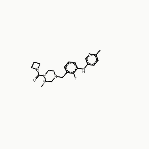 Cc1ccc(Nc2cccc(CN3CCN(C(=O)N4CCC4)[C@H](C)C3)c2F)cn1